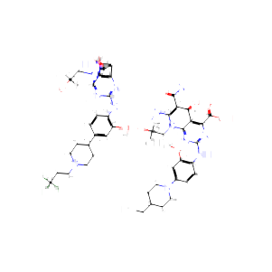 CCC1CCN(c2ccc(Nc3nc(C(=O)O)c4c(=O)c(C(N)=O)c(N)n(CC(C)(C)O)c4n3)c(OC)c2)CC1.COc1cc(C2CCN(CCC(F)(F)F)CC2)ccc1Nc1nc2c3c(=O)c-2c(N)n(CC(C)(C)O)c3n1